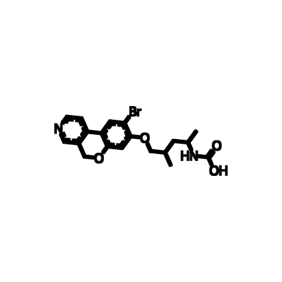 CC(COc1cc2c(cc1Br)-c1ccncc1CO2)CC(C)NC(=O)O